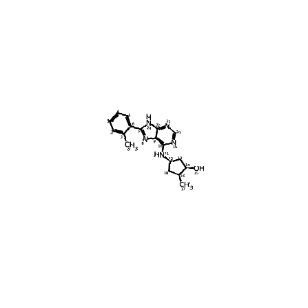 Cc1ccccc1-c1nc2c(N[C@H]3C[C@@H](O)[C@@H](C)C3)ncnc2[nH]1